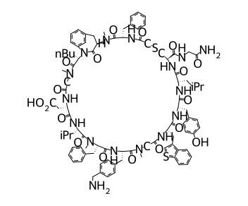 CCCC[C@H]1C(=O)N(C)CC(=O)N[C@@H](CC(=O)O)C(=O)N[C@@H](C(C)C)C(=O)N(C)[C@@H](Cc2ccccc2)C(=O)N[C@@H](Cc2ccc(CN)cc2)C(=O)N(C)CC(=O)N[C@@H](Cc2csc3ccccc23)C(=O)N[C@@H](Cc2ccc(O)cc2)C(=O)N[C@@H](CC(C)C)C(=O)N[C@H](C(=O)NCC(N)=O)CSCC(=O)N[C@@H](Cc2ccccc2)C(=O)N(C)[C@H]2Cc3cccc(c3)N1C2=O